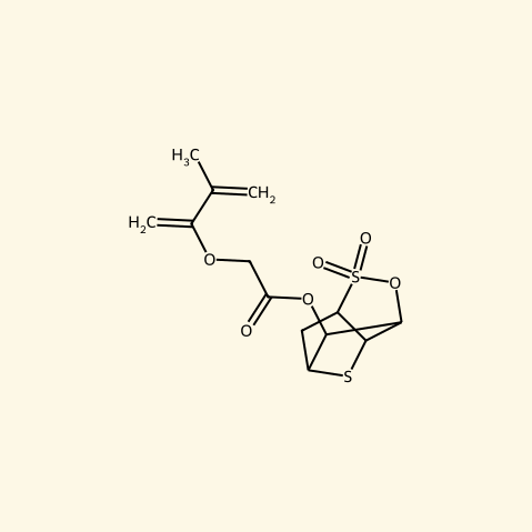 C=C(C)C(=C)OCC(=O)OC1C2CC3C(S2)C1OS3(=O)=O